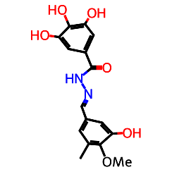 COc1c(C)cc(/C=N/NC(=O)c2cc(O)c(O)c(O)c2)cc1O